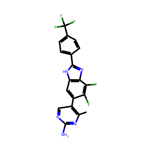 Cc1nc(N)ncc1-c1cc2[nH]c(-c3ccc(C(F)(F)F)cc3)nc2c(F)c1F